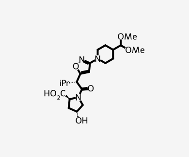 COC(OC)C1CCN(c2cc([C@H](C(=O)N3C[C@H](O)C[C@H]3C(=O)O)C(C)C)on2)CC1